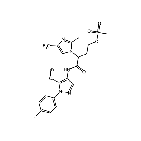 Cc1nc(C(F)(F)F)cn1C(CCOS(C)(=O)=O)C(=O)Nc1cnn(-c2ccc(F)cc2)c1OC(C)C